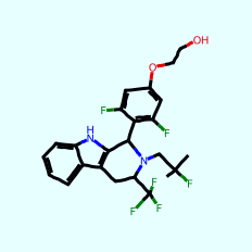 CC(C)(F)CN1C(c2c(F)cc(OCCO)cc2F)c2[nH]c3ccccc3c2CC1C(F)(F)F